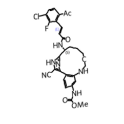 COC(=O)Nc1ccc2c(c1)NCCCCC[C@H](NC(=O)/C=C/c1c(C(C)=O)ccc(Cl)c1F)c1nc-2c(C#N)[nH]1